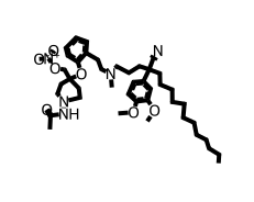 CCCCCCCCCCCCC(C#N)(CCCN(C)CCc1ccccc1OC1(CO[N+](=O)[O-])CCN(NC(C)=O)CC1)c1ccc(OC)c(OC)c1